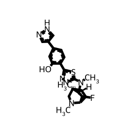 CN1C[C@]2(C)CCC1C(F)[C@H]2N(C)c1nnc(-c2ccc(-c3cn[nH]c3)cc2O)s1